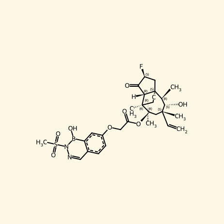 C=C[C@]1(C)C[C@@H](OC(=O)COc2ccc3c(c2)B(O)N(S(C)(=O)=O)N=C3)[C@]2(C)[C@H](C)CC[C@]3(C[C@H](F)C(=O)[C@H]32)[C@@H](C)[C@@H]1O